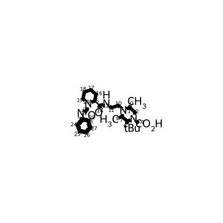 CC1CN(C(=O)O)C(C(C)(C)C)C(C)N1CCNC(=O)[C@@H]1CCCCN1c1nc2ccccc2o1